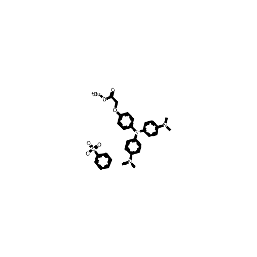 CN(C)c1ccc([S+](c2ccc(OCC(=O)OC(C)(C)C)cc2)c2ccc(N(C)C)cc2)cc1.O=S(=O)([O-])c1ccccc1